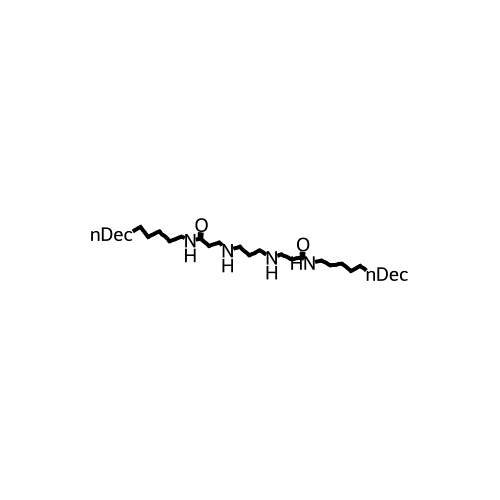 CCCCCCCCCCCCCCCNC(=O)CCNCCCNCCC(=O)NCCCCCCCCCCCCCCC